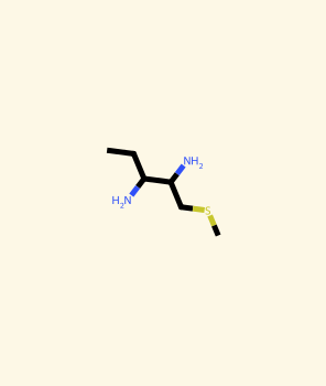 CCC(N)C(N)CSC